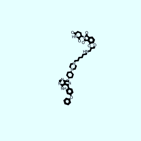 Nc1ncnc2c1c(-c1ccc(Oc3ccccc3)cc1)nn2[C@H]1CC[C@H](N2CCN(CCCCCCNCC(C=O)Oc3cccc4c3C(=O)N(C3CCC(=O)NC3=O)C4=O)CC2)CC1